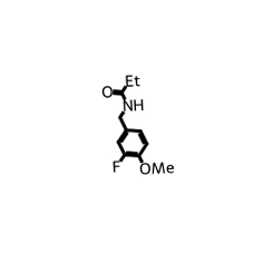 CCC(=O)NCc1ccc(OC)c(F)c1